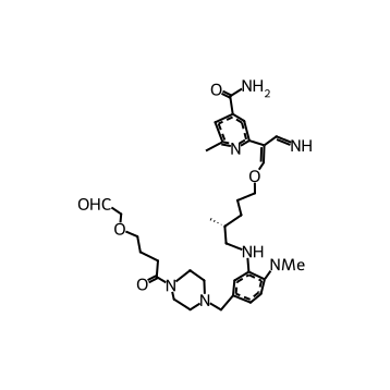 CNc1ccc(CN2CCN(C(=O)CCCOCC=O)CC2)cc1NC[C@H](C)CCCO/C=C(/C=N)c1cc(C(N)=O)cc(C)n1